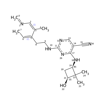 C=N/C=C(C)\C(=C/C)CCNc1ncc(C#N)c(N[C@@H]2C[C@H](O)C2(C)C)n1